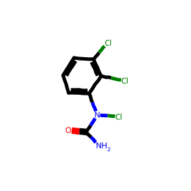 NC(=O)N(Cl)c1cccc(Cl)c1Cl